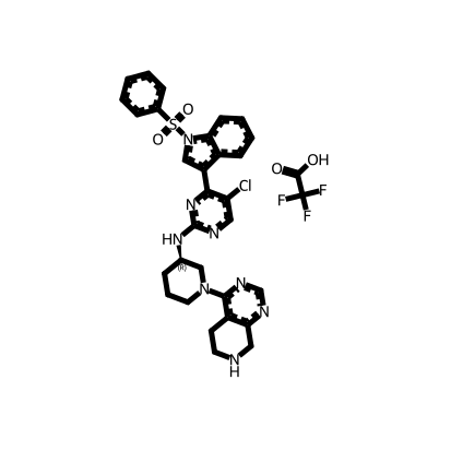 O=C(O)C(F)(F)F.O=S(=O)(c1ccccc1)n1cc(-c2nc(N[C@@H]3CCCN(c4ncnc5c4CCNC5)C3)ncc2Cl)c2ccccc21